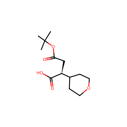 CC(C)(C)OC(=O)C[C@H](C(=O)O)C1CCOCC1